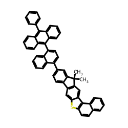 CC1(C)c2cc(-c3ccc(-c4c5ccccc5c(-c5ccccc5)c5ccccc45)c4ccccc34)ccc2-c2cc3sc4ccc5ccccc5c4c3cc21